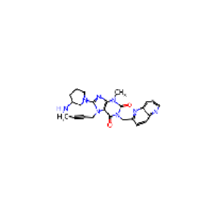 CC#CCn1c(N2CCCC(N)C2)nc2c1c(=O)n(Cc1ccc3ncccc3n1)c(=O)n2C